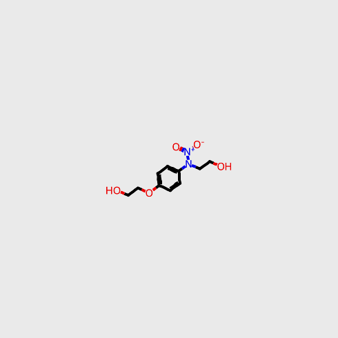 O=[N+]([O-])N(CCO)c1ccc(OCCO)cc1